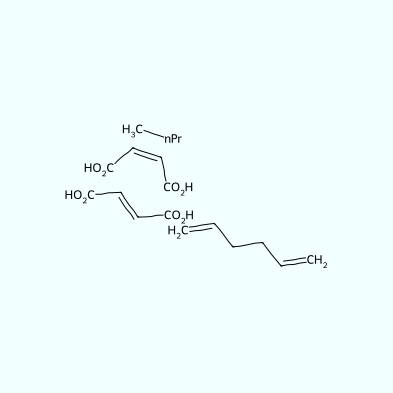 C=CCCC=C.CCCC.O=C(O)/C=C/C(=O)O.O=C(O)/C=C\C(=O)O